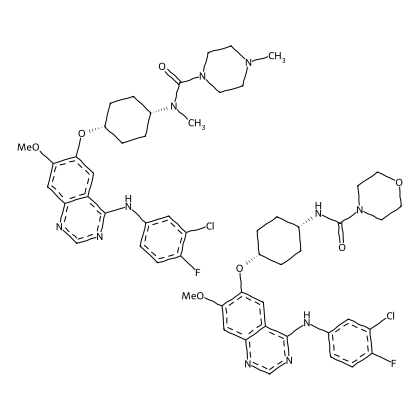 COc1cc2ncnc(Nc3ccc(F)c(Cl)c3)c2cc1O[C@H]1CC[C@@H](N(C)C(=O)N2CCN(C)CC2)CC1.COc1cc2ncnc(Nc3ccc(F)c(Cl)c3)c2cc1O[C@H]1CC[C@@H](NC(=O)N2CCOCC2)CC1